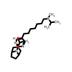 CC(C)N(C)CCCCCCCc1cnc(N2C3CCC2CN(C(C)C)C3)nc1